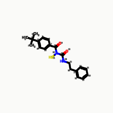 CC(C)(C)c1ccc(C(=O)N(S)C(=O)NCCc2ccccc2)cc1